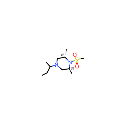 CCC(C)N1C[C@H](C)N(S(C)(=O)=O)[C@@H](C)C1